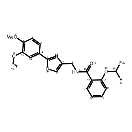 COc1ccc(-c2nc(CNC(=O)c3ccccc3OC(F)F)co2)cc1OC(C)C